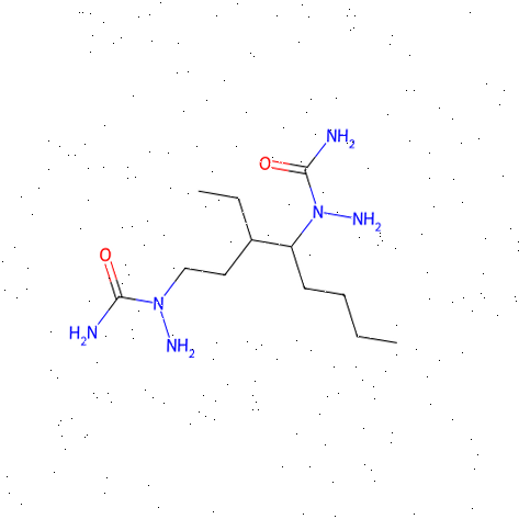 CCCCC(C(CC)CCN(N)C(N)=O)N(N)C(N)=O